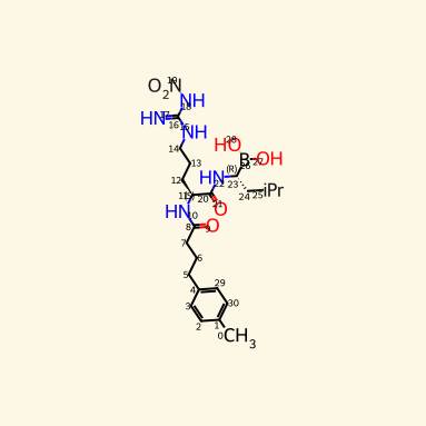 Cc1ccc(CCCC(=O)N[C@@H](CCCNC(=N)N[N+](=O)[O-])C(=O)N[C@@H](CC(C)C)B(O)O)cc1